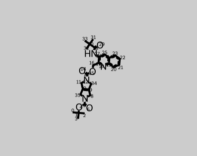 CC(C)(C)OC(=O)N1CC2=C(CN(C(=O)OCc3nc4ccccc4cc3NC(=O)C(C)(C)C)C2)C1